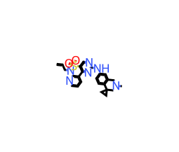 C=CCN1c2ncccc2-c2nc(Nc3ccc4c(c3)CN(C)CC43CC3)ncc2S1(=O)=O